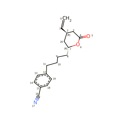 C=C[C@H]1CC(=O)O[C@H](CCCCc2ccc(C#N)cc2)C1